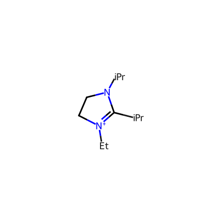 CC[N+]1=C(C(C)C)N(C(C)C)CC1